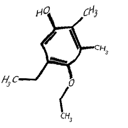 CCOc1c(CC)cc(O)c(C)c1C